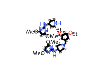 CCOc1cc(CN2CCC(Nc3nc(OC)cc(OC)n3)CC2)cc(OCC)c1.COc1cc(OC)nc(NC2CCNCC2)n1